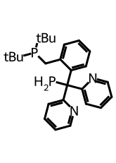 CC(C)(C)P(Cc1ccccc1C(P)(c1ccccn1)c1ccccn1)C(C)(C)C